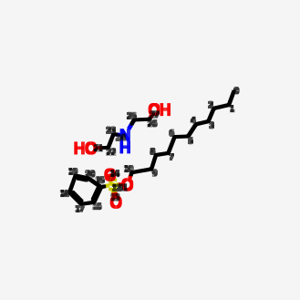 CCCCCCCCCCCOS(=O)(=O)c1ccccc1.OCCNCCO